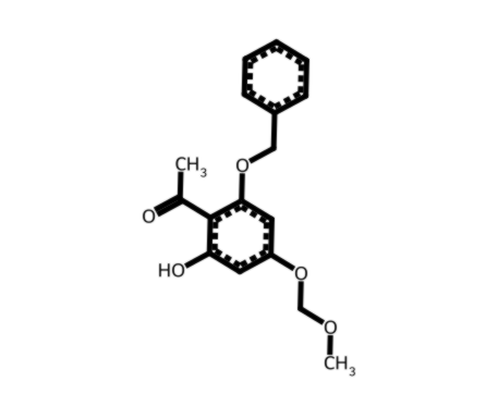 COCOc1cc(O)c(C(C)=O)c(OCc2ccccc2)c1